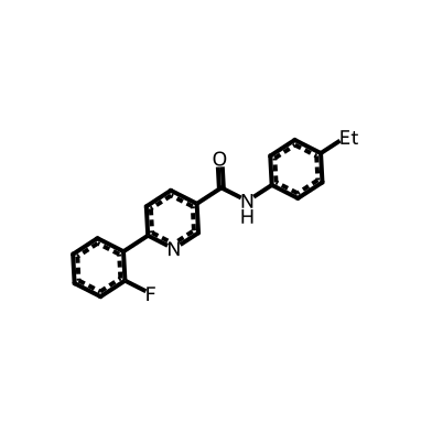 CCc1ccc(NC(=O)c2ccc(-c3ccccc3F)nc2)cc1